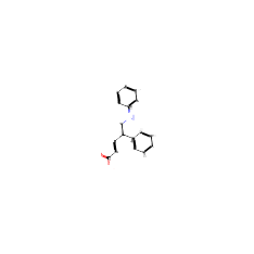 O=C(O)C=CC(CNc1ccccc1)c1ccccc1